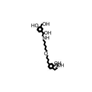 OCc1cc([C@@H](O)CNCCCCCCOCCCCc2ccc3c(c2)S(O)(O)CC3)ccc1O